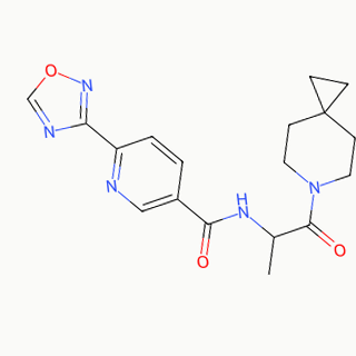 CC(NC(=O)c1ccc(-c2ncon2)nc1)C(=O)N1CCC2(CC1)CC2